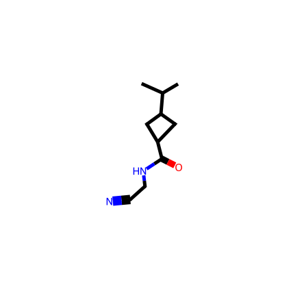 CC(C)C1CC(C(=O)NCC#N)C1